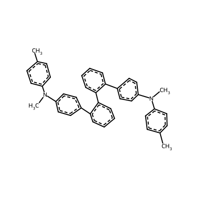 Cc1ccc(N(C)c2ccc(-c3ccccc3-c3ccccc3-c3ccc(N(C)c4ccc(C)cc4)cc3)cc2)cc1